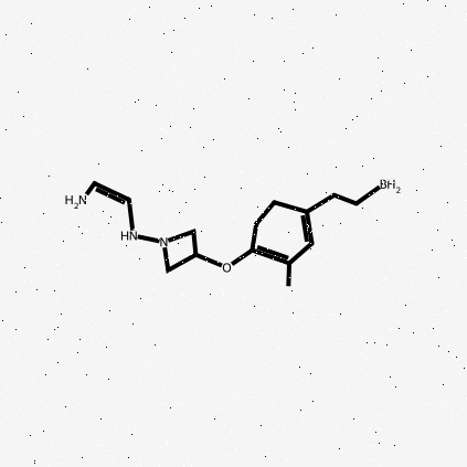 BCCC1=CC(C)=C(OC2CN(N/C=C\N)C2)CC1